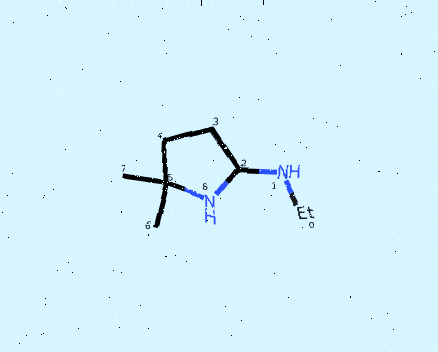 CCNC1CCC(C)(C)N1